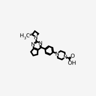 C[C@H]1CCN1c1nc2c(c(-c3ccc(N4CCN(C(=O)O)CC4)cc3)n1)CCC2